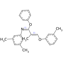 CC(=C\Oc1cccc(C)c1)/C(=N\c1cc(C)cc(C)c1)Oc1ccccc1